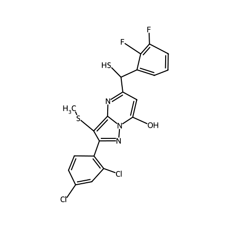 CSc1c(-c2ccc(Cl)cc2Cl)nn2c(O)cc(C(S)c3cccc(F)c3F)nc12